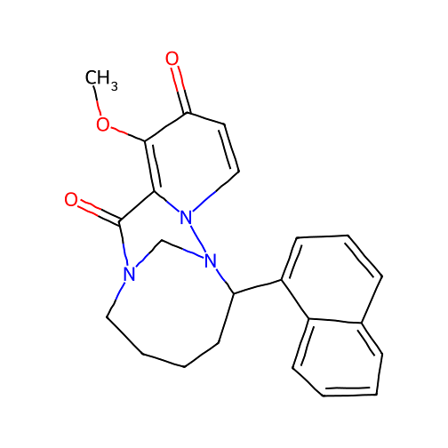 COc1c2n(ccc1=O)N1CN(CCCCC1c1cccc3ccccc13)C2=O